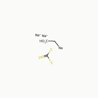 O=C(O)[CH2][Na].S=C([S-])[S-].[Na+].[Na+]